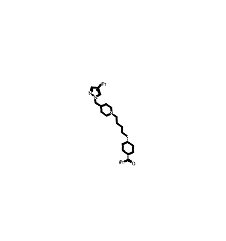 CC(C)c1cnn(CC2CCN(CCCCC[C@H]3CC[C@H](C(=O)C(C)C)CC3)CC2)c1